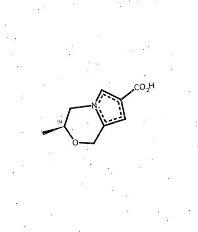 C[C@H]1Cn2cc(C(=O)O)cc2CO1